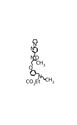 C=CCN(CC(=O)OCC)Cc1cccc(OCCc2nc(-c3ccc(N4CCCC4)nc3)oc2C)c1